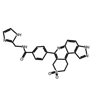 O=C(NCc1ncc[nH]1)c1ccc(-c2nc3ccc4[nH]ncc4c3c3c2CS(=O)(=O)CC3)cc1